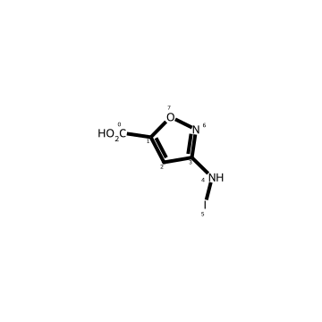 O=C(O)c1cc(NI)no1